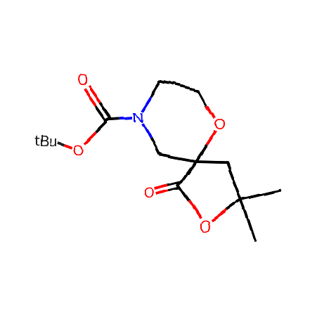 CC(C)(C)OC(=O)N1CCOC2(C1)CC(C)(C)OC2=O